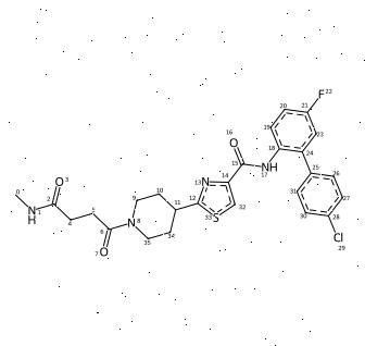 CNC(=O)CCC(=O)N1CCC(c2nc(C(=O)Nc3ccc(F)cc3-c3ccc(Cl)cc3)cs2)CC1